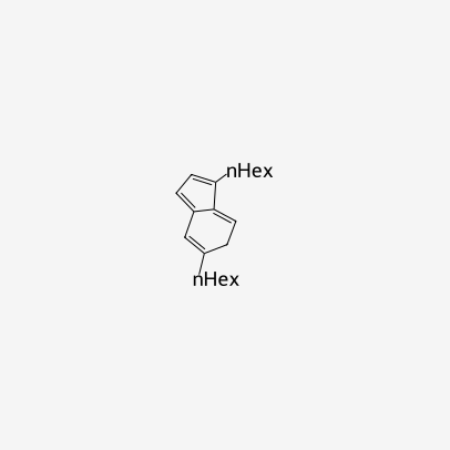 CCCCCCC1=CC2=CC=C(CCCCCC)C2=CC1